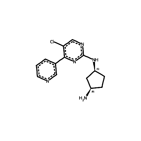 N[C@@H]1CC[C@H](Nc2ncc(Cl)c(-c3cccnc3)n2)C1